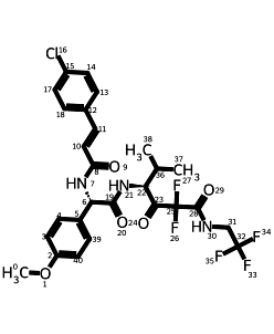 COc1ccc([C@H](NC(=O)C=Cc2ccc(Cl)cc2)C(=O)N[C@H](C(=O)C(F)(F)C(=O)NCC(F)(F)F)C(C)C)cc1